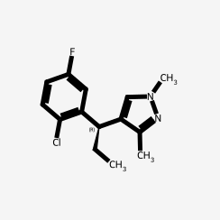 CC[C@@H](c1cc(F)ccc1Cl)c1cn(C)nc1C